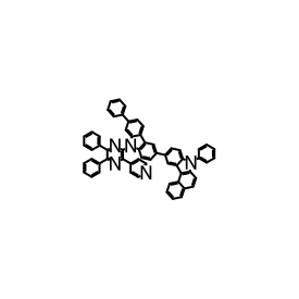 c1ccc(-c2ccc3c4cc(-c5ccc6c(c5)c5c7ccccc7ccc5n6-c5ccccc5)ccc4n(-c4nc(-c5ccccc5)c(-c5ccccc5)nc4-c4ccncc4)c3c2)cc1